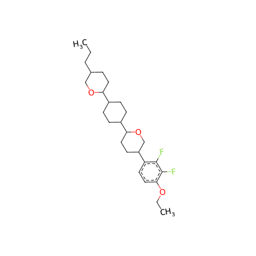 CCCC1CCC(C2CCC(C3CCC(c4ccc(OCC)c(F)c4F)CO3)CC2)OC1